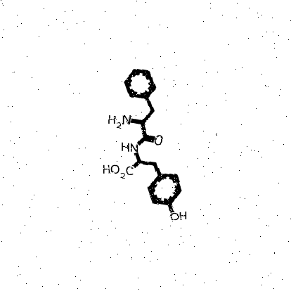 NC(Cc1ccccc1)C(=O)NC(Cc1ccc(O)cc1)C(=O)O